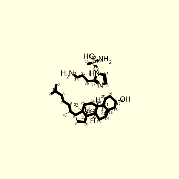 CC(C)CCC[C@@H](C)[C@H]1CC[C@H]2[C@@H]3CC=C4C[C@@H](O)CC[C@]4(C)[C@H]3CC[C@]12C.CP(N)(=O)O.NCCCc1ncc[nH]1